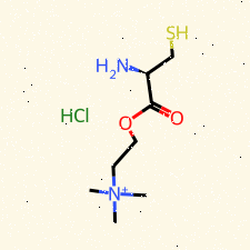 C[N+](C)(C)CCOC(=O)[C@@H](N)CS.Cl